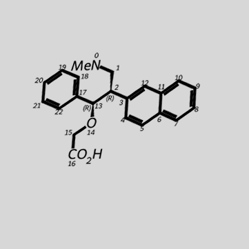 CNC[C@@H](c1ccc2ccccc2c1)[C@@H](OCC(=O)O)c1ccccc1